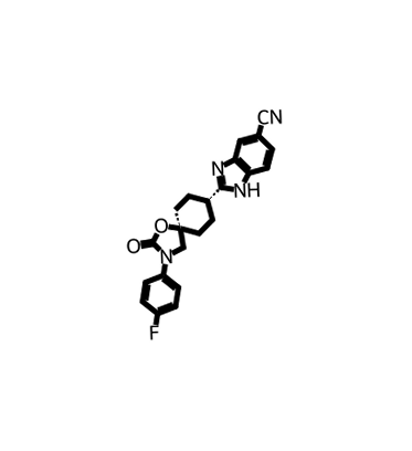 N#Cc1ccc2[nH]c([C@H]3CC[C@]4(CC3)CN(c3ccc(F)cc3)C(=O)O4)nc2c1